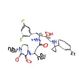 CCCCC(C(=O)N[C@@H](Cc1cc(F)cc(F)c1)[C@@H](O)CNC1(c2cccc(CC)c2)CC1)N1CCN(CCCC)C(=O)C1=O